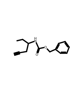 C#CCC(CC)NC(=O)OCc1ccccc1